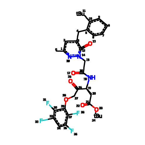 Cc1cc(Cc2ccccc2C(C)(C)C)c(=O)n(CC(=O)N[C@@H](CC(=O)OC(C)(C)C)C(=O)COc2c(F)c(F)cc(F)c2F)n1